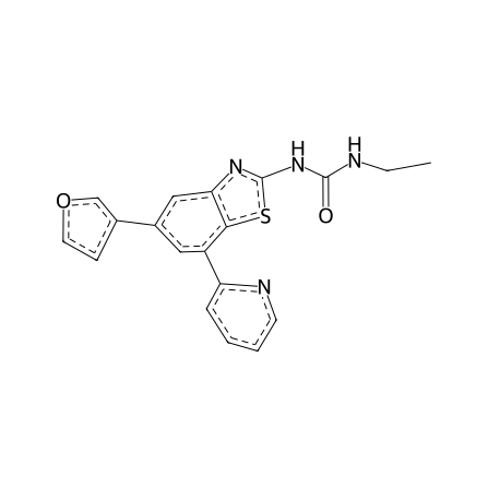 CCNC(=O)Nc1nc2cc(-c3ccoc3)cc(-c3ccccn3)c2s1